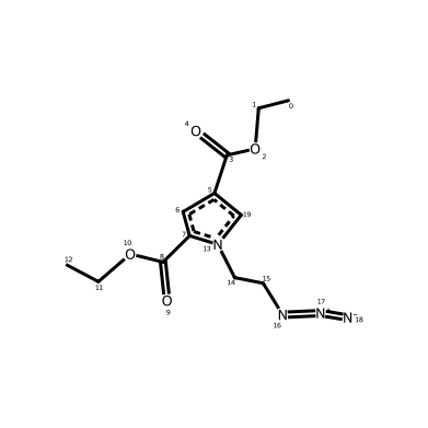 CCOC(=O)c1cc(C(=O)OCC)n(CCN=[N+]=[N-])c1